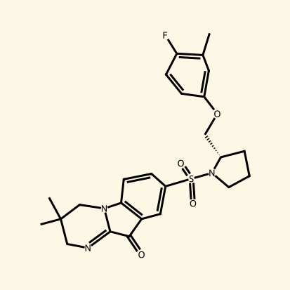 Cc1cc(OC[C@@H]2CCCN2S(=O)(=O)c2ccc3c(c2)C(=O)C2=NCC(C)(C)CN23)ccc1F